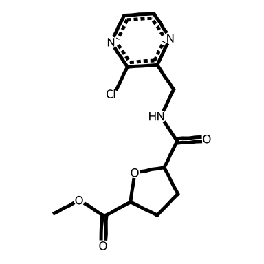 COC(=O)C1CCC(C(=O)NCc2nccnc2Cl)O1